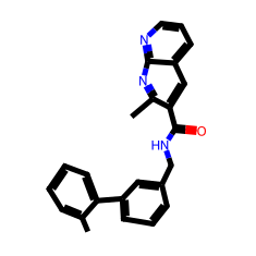 Cc1ccccc1-c1cccc(CNC(=O)c2cc3cccnc3nc2C)c1